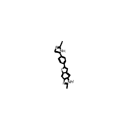 Cc1ncc(-c2ccc(-c3cc4cc5[nH]c(C)nc5cc4s3)cc2)[nH]1